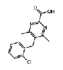 Cc1nc(C(=O)O)nc(C)c1Cc1ccccc1Cl